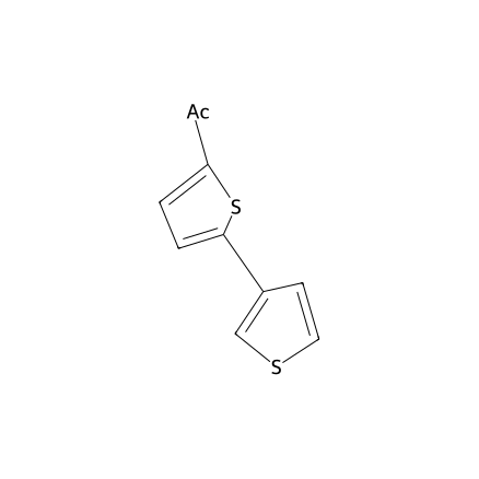 CC(=O)c1ccc(-c2ccsc2)s1